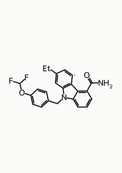 CCc1c[c]c2c3c(C(N)=O)cccc3n(Cc3ccc(OC(F)F)cc3)c2c1